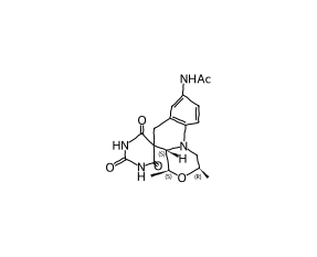 CC(=O)Nc1ccc2c(c1)CC1(C(=O)NC(=O)NC1=O)[C@H]1[C@H](C)O[C@H](C)CN21